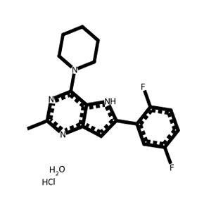 Cc1nc(N2CCCCC2)c2[nH]c(-c3cc(F)ccc3F)cc2n1.Cl.O